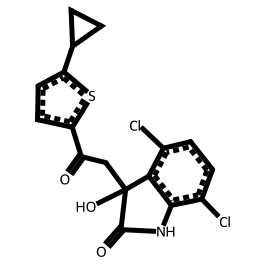 O=C(CC1(O)C(=O)Nc2c(Cl)ccc(Cl)c21)c1ccc(C2CC2)s1